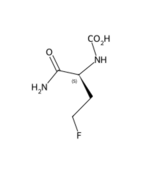 NC(=O)[C@H](CCF)NC(=O)O